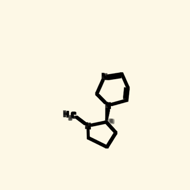 CN1CCC[C@@H]1N1C=CC=NC1